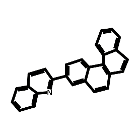 c1ccc2nc(-c3ccc4c(ccc5ccc6ccccc6c54)c3)ccc2c1